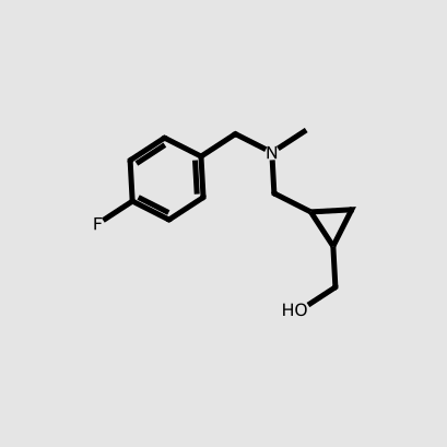 CN(Cc1ccc(F)cc1)CC1CC1CO